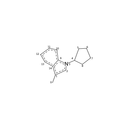 Cc1cn(C2CCCC2)c2ccccc12